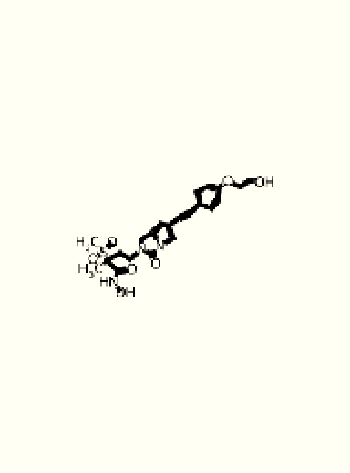 C[C@@](CCN1Cc2cc(C#Cc3ccc(OCCO)cc3)cn2C1=O)(C(=O)NO)S(C)(=O)=O